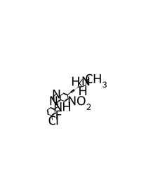 CN1C[C@@H]2[C@@H](C#Cc3cc4ncnc(Nc5cccc(Cl)c5F)c4cc3[N+](=O)[O-])[C@@H]2C1